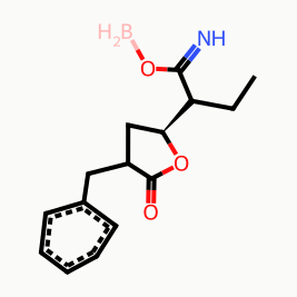 BOC(=N)C(CC)[C@@H]1CC(Cc2ccccc2)C(=O)O1